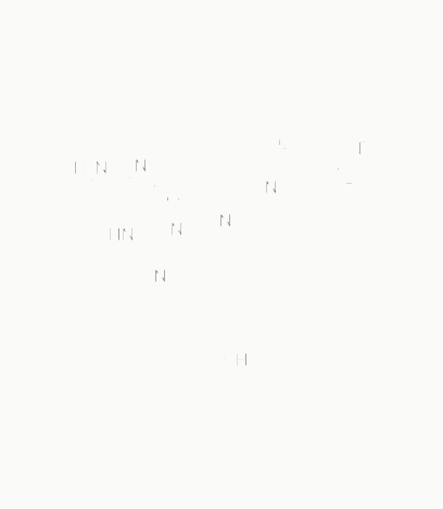 CCc1cc2c(N3CCN(C(=O)CC(F)(F)F)CC3)nc(N[C@H](CN)C(N)=O)nc2s1